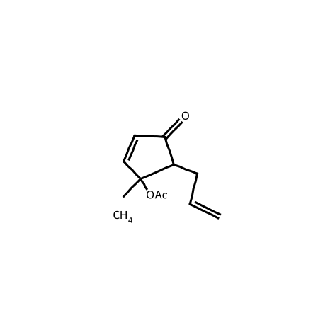 C.C=CCC1C(=O)C=CC1(C)OC(C)=O